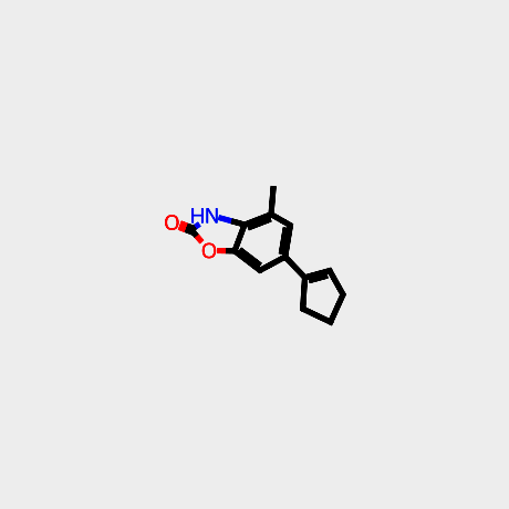 Cc1cc(C2=CCCC2)cc2oc(=O)[nH]c12